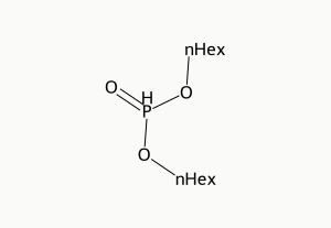 CCCCCCO[PH](=O)OCCCCCC